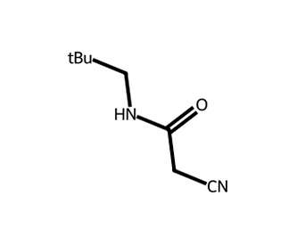 CC(C)(C)CNC(=O)CC#N